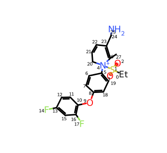 CCS(=O)(=O)[N+]1(c2ccc(Oc3ccc(F)cc3F)cc2)CC=CC(CN)=C1C